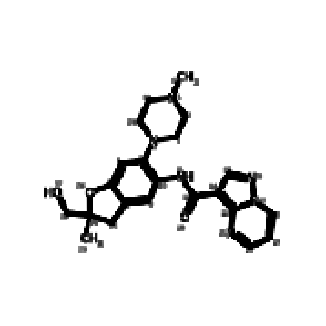 CN1CCN(c2cc3c(cc2NC(=O)c2cnn4cccnc24)C[C@](C)(CO)O3)CC1